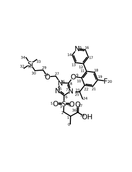 CC(CS(=O)(=O)c1nc(Oc2c(-c3ccncc3)cc(F)cc2C(C)C)n(COCC[Si](C)(C)C)n1)C(=O)O